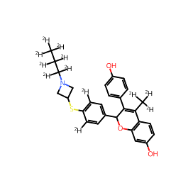 [2H]c1cc(C2Oc3cc(O)ccc3C(C([2H])([2H])[2H])=C2c2ccc(O)cc2)cc([2H])c1SC1CN(C([2H])([2H])C([2H])([2H])C([2H])([2H])[2H])C1